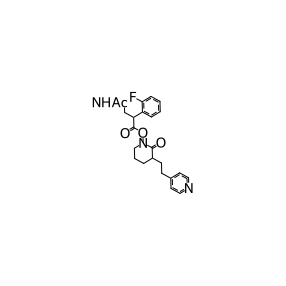 CC(=O)NCC(C(=O)ON1CCCC(CCc2ccncc2)C1=O)c1ccccc1F